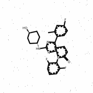 Cc1cc(F)ccc1-c1nc(N[C@H]2CC[C@H](O)CC2)nc2c1ccc(=O)n2-c1c(F)cccc1F